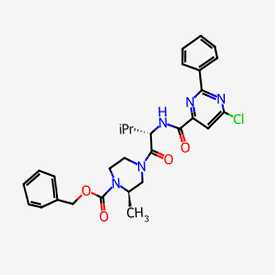 CC(C)[C@H](NC(=O)c1cc(Cl)nc(-c2ccccc2)n1)C(=O)N1CCN(C(=O)OCc2ccccc2)[C@H](C)C1